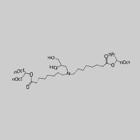 CCCCCCCCC(CCC)OC(=O)CCCCCCCN(CCCCCCCC(=O)OC(CCCCCCCC)CCCCCCCC)CC(O)CO